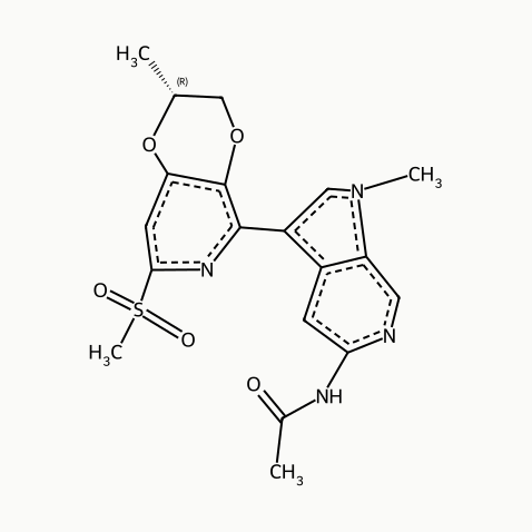 CC(=O)Nc1cc2c(-c3nc(S(C)(=O)=O)cc4c3OC[C@@H](C)O4)cn(C)c2cn1